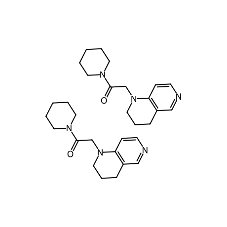 O=C(CN1CCCc2cnccc21)N1CCCCC1.O=C(CN1CCCc2cnccc21)N1CCCCC1